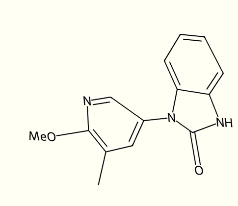 COc1ncc(-n2c(=O)[nH]c3ccccc32)cc1C